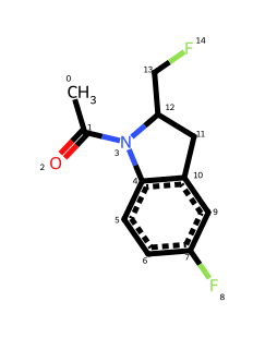 CC(=O)N1c2ccc(F)cc2CC1CF